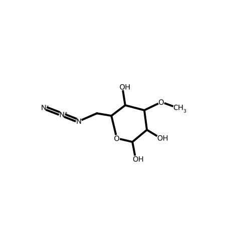 COC1C(O)C(O)OC(CN=[N+]=[N-])C1O